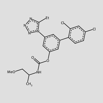 CCc1nnnn1-c1cc(OC(=O)NC(C)COC)cc(-c2ccc(Cl)cc2Cl)c1